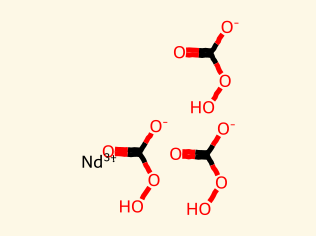 O=C([O-])OO.O=C([O-])OO.O=C([O-])OO.[Nd+3]